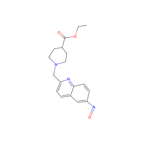 CCOC(=O)C1CCN(Cc2ccc3cc(N=O)ccc3n2)CC1